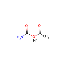 CC(=O)OC(N)=O.[H+]